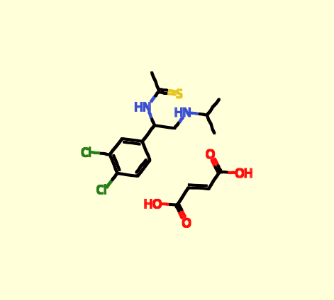 CC(=S)NC(CNC(C)C)c1ccc(Cl)c(Cl)c1.O=C(O)/C=C/C(=O)O